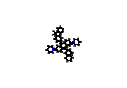 CC1(C)c2ccccc2-c2cc(-c3c4c(c(-c5ccc6c(c5)CCC=C6)c5cc(N6CCCCC6)ccc35)=CCC(N3CCCCC3)C=4)ccc21